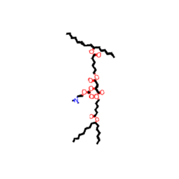 CCCCCCCCC(CCCCCC)OC(=O)CCCCCOC(=O)CC(OC(=O)OCCN(C)C)C(=O)OCCCCCC(=O)OC(CCCCCC)CCCCCCCC